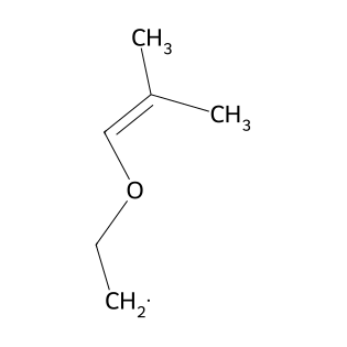 [CH2]COC=C(C)C